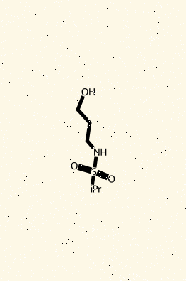 CC(C)S(=O)(=O)NCCCO